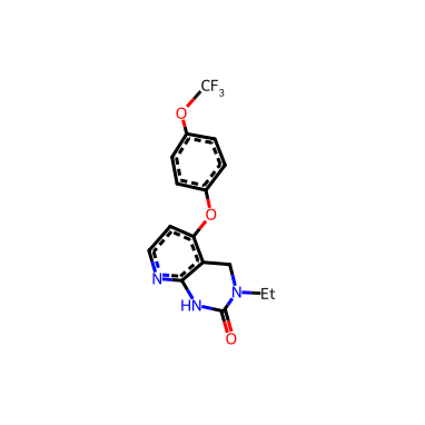 CCN1Cc2c(Oc3ccc(OC(F)(F)F)cc3)ccnc2NC1=O